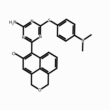 CN(C)c1ccc(Sc2nc(N)nc(-c3c(Cl)cc4c5c(cccc35)COC4)n2)cc1